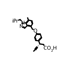 CC#C[C@@H](CC(=O)O)c1ccc(OCc2ccc(C)c3c2cnn3CC(C)C)cc1